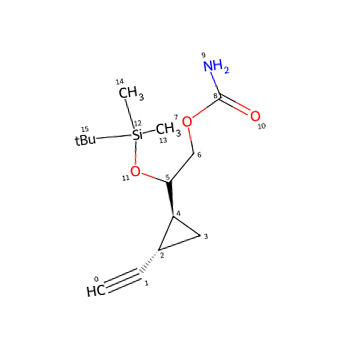 C#C[C@H]1C[C@@H]1C(COC(N)=O)O[Si](C)(C)C(C)(C)C